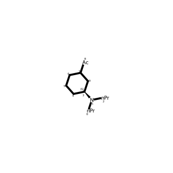 CCCN(CCC)[C@H]1CCCC(C(C)=O)C1